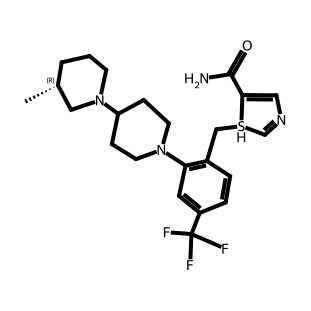 C[C@@H]1CCCN(C2CCN(c3cc(C(F)(F)F)ccc3C[SH]3C=NC=C3C(N)=O)CC2)C1